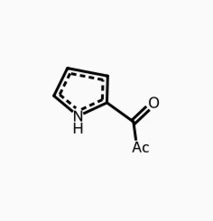 CC(=O)C(=O)c1ccc[nH]1